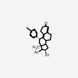 CC[C@@H]1CC2C3CCC4=CC(=O)CCC4=C3[C@@H](c3ccc(I)cc3)C[C@]2(C)C1C(C)=O